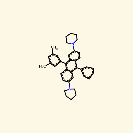 Cc1cc(C)cc(-c2c3ccc(N4CCCCC4)cc3c(-c3ccccc3)c3ccc(N4CCCCC4)cc23)c1